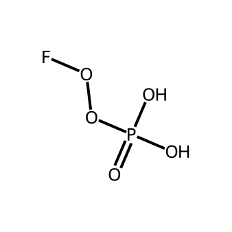 O=P(O)(O)OOF